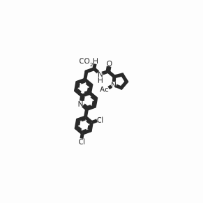 CC(=O)N1CCCC1C(=O)NC(Cc1ccc2nc(-c3ccc(Cl)cc3Cl)ccc2c1)C(=O)O